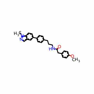 COc1ccc(CC(=O)NCCCc2ccc(-c3ccc4c(cnn4C)c3)cc2)cc1